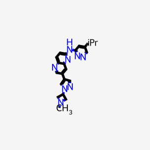 CC(C)c1cnnc(Nc2ccc3ncc(-c4cnn(C5CN(C)C5)c4)cc3n2)c1